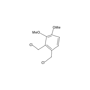 COc1ccc(CCl)c(CCl)c1OC